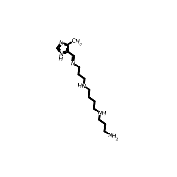 Cc1nc[nH]c1/C=N/CCCNCCCCNCCCN